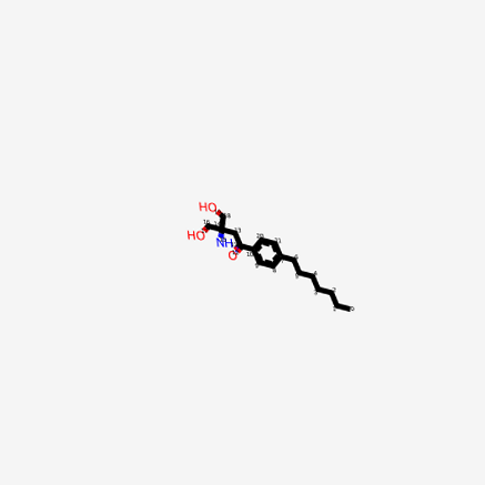 CCCCCCCc1ccc(C(=O)CC(N)(CO)CO)cc1